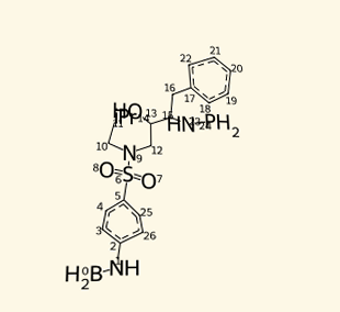 BNc1ccc(S(=O)(=O)N(CC(C)C)CC(O)C(Cc2ccccc2)NP)cc1